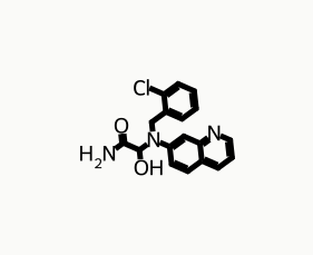 NC(=O)C(O)N(Cc1ccccc1Cl)c1ccc2cccnc2c1